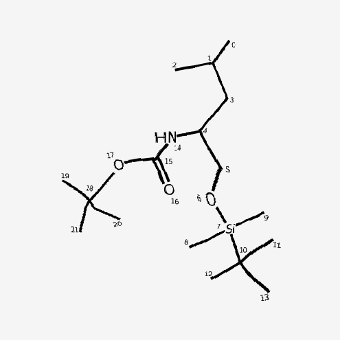 CC(C)CC(CO[Si](C)(C)C(C)(C)C)NC(=O)OC(C)(C)C